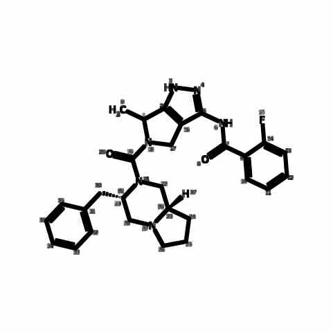 CC1c2[nH]nc(NC(=O)c3ccccc3F)c2CN1C(=O)N1C[C@@H]2CCCN2C[C@@H]1Cc1ccccc1